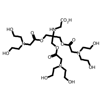 O=C(O)CNC(COC(=O)CN(CCO)CCO)(COC(=O)CN(CCO)CCO)COC(=O)CN(CCO)CCO